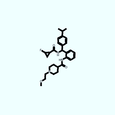 COCCN1CCC(C(=O)Nc2ccccc2C(NC(=O)C2CC2F)c2ccc(C(C)C)cc2)CC1